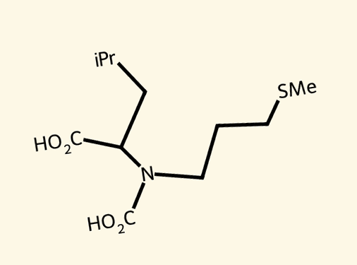 CSCCCN(C(=O)O)C(CC(C)C)C(=O)O